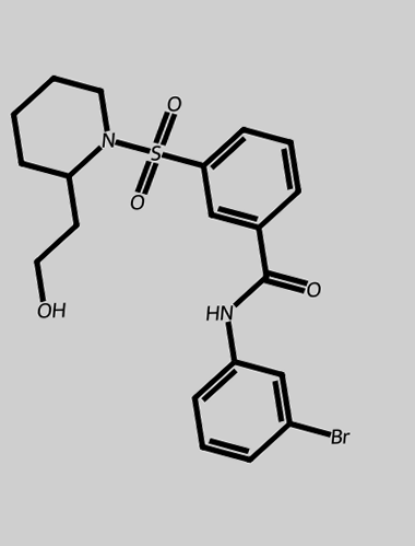 O=C(Nc1cccc(Br)c1)c1cccc(S(=O)(=O)N2CCCCC2CCO)c1